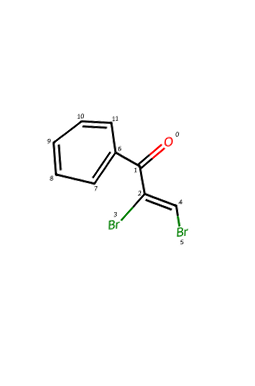 O=C(C(Br)=CBr)c1ccccc1